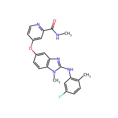 CNC(=O)c1cc(Oc2ccc3c(c2)nc(Nc2cc(F)ccc2C)n3C)ccn1